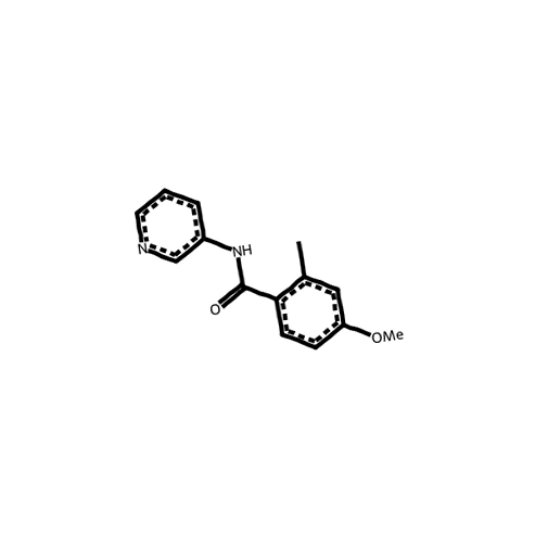 COc1ccc(C(=O)Nc2cccnc2)c(C)c1